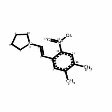 Cc1cc(C=CN2CCCC2)c([N+](=O)[O-])cc1C